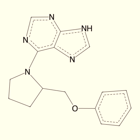 c1ccc(OCC2CCCN2c2ncnc3[nH]cnc23)cc1